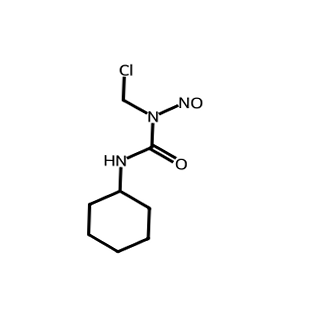 O=NN(CCl)C(=O)NC1CCCCC1